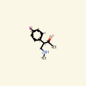 CCNCC(C(=O)CC)c1ccc(I)cc1